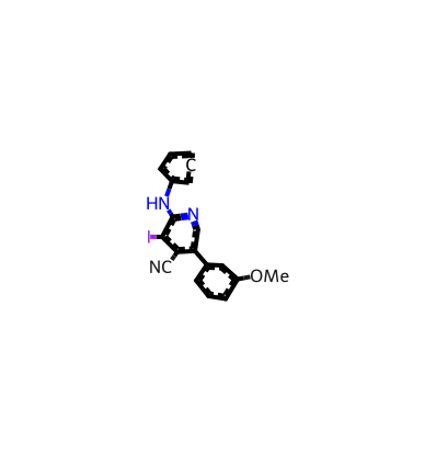 COc1cccc(-c2cnc(Nc3ccccc3)c(I)c2C#N)c1